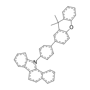 CC1(C)c2ccccc2Oc2ccc(-c3ccc(-n4c5ccccc5c5ccc6ccccc6c54)cc3)cc21